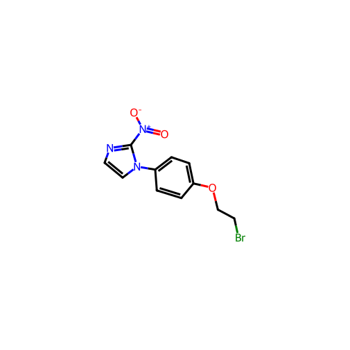 O=[N+]([O-])c1nccn1-c1ccc(OCCBr)cc1